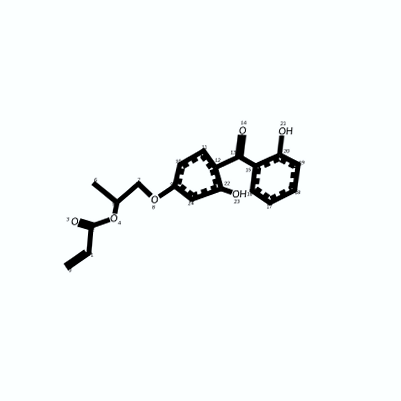 C=CC(=O)OC(C)COc1ccc(C(=O)c2ccccc2O)c(O)c1